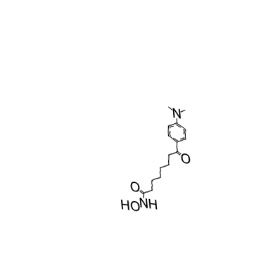 CN(C)c1ccc(C(=O)CCCCCCC(=O)NO)cc1